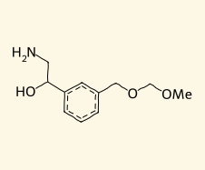 COCOCc1cccc(C(O)CN)c1